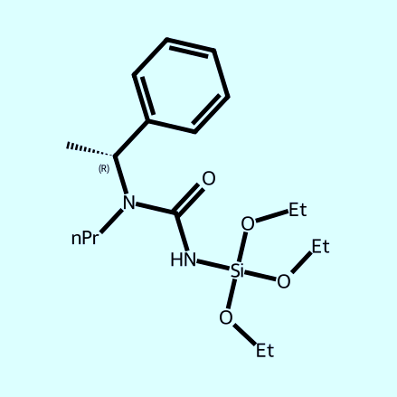 CCCN(C(=O)N[Si](OCC)(OCC)OCC)[C@H](C)c1ccccc1